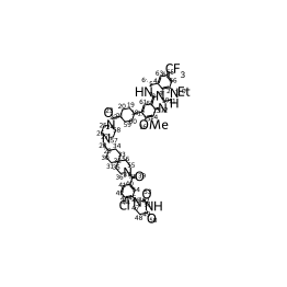 CCNc1cc([C@@H](C)Nc2nc(C)nc3cc(OC)c(C4CCC(C(=O)N5CCN(CC6CCC7(CC6)CCN(C(=O)c6ccc(Cl)c(N8CCC(=O)NC8=O)c6)CC7)CC5)CC4)cc23)cc(C(F)(F)F)c1